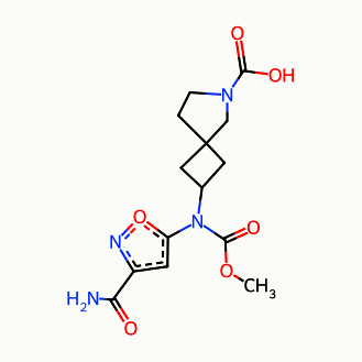 COC(=O)N(c1cc(C(N)=O)no1)C1CC2(CCN(C(=O)O)C2)C1